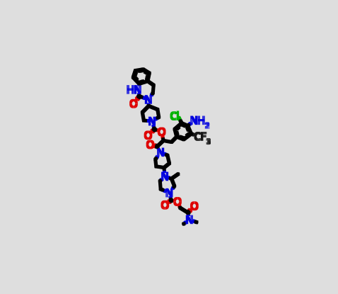 CC1CN(C(=O)OCC(=O)N(C)C)CCN1C1CCN(C(=O)C(Cc2cc(Cl)c(N)c(C(F)(F)F)c2)OC(=O)N2CCC(N3CCc4ccccc4NC3=O)CC2)CC1